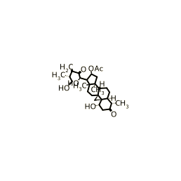 C=C(C(=O)[C@H](O)C1[C@@H](OC(C)=O)C[C@@]2(C)[C@@H]3CC[C@H]4[C@H](C)C(=O)C[C@H](O)[C@@]45C[C@@]35CC[C@]12C)[C@@H](C)CO